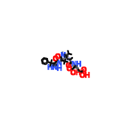 CN[C@H](C(=O)N[C@H](C(=O)N(C)[C@H](/C=C(\C)C(=O)N[C@H](CCC(=O)O)C(=O)O)C(C)C)C(C)(C)C)C(C)(C)c1ccccc1